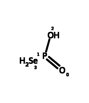 O=PO.[SeH2]